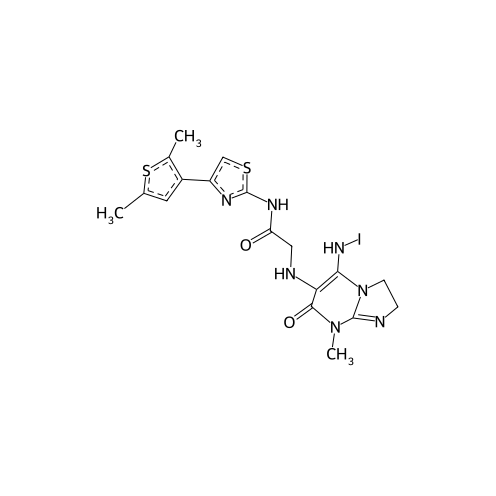 Cc1cc(-c2csc(NC(=O)CNC3=C(NI)N4CCN=C4N(C)C3=O)n2)c(C)s1